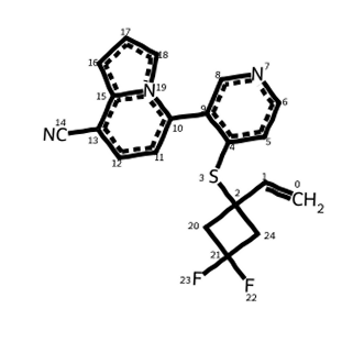 C=CC1(Sc2ccncc2-c2ccc(C#N)c3cccn23)CC(F)(F)C1